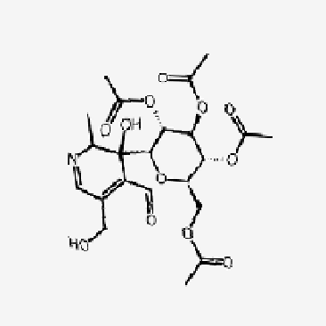 CC(=O)OC[C@H]1O[C@@H](C2(O)C(C=O)=C(CO)C=NC2C)[C@H](OC(C)=O)[C@@H](OC(C)=O)[C@@H]1OC(C)=O